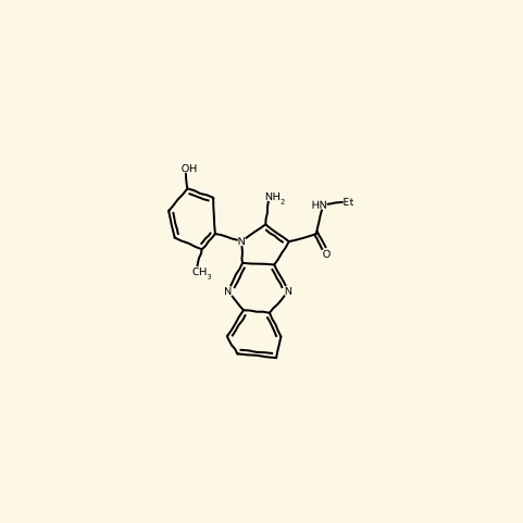 CCNC(=O)c1c(N)n(-c2cc(O)ccc2C)c2nc3ccccc3nc12